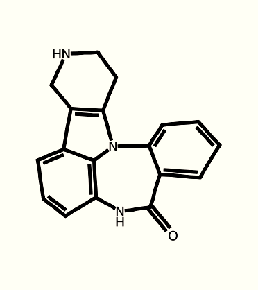 O=C1Nc2cccc3c4c(n(c23)-c2ccccc21)CCNC4